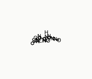 Cn1cc(-c2cncc(-n3ncc4c5c(sc4c3=O)CCCC5)c2C=O)cc(Nc2ccc(N3CCN(C4COC4)CC3)cn2)c1=O